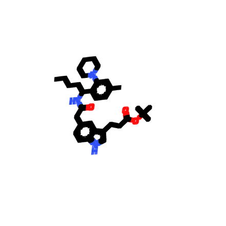 CCCCC(NC(=O)Cc1ccc2[nH]cc(CCC(=O)OC(C)(C)C)c2c1)c1ccc(C)cc1N1CCCCC1